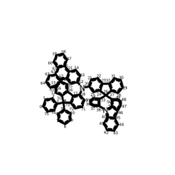 c1ccc(C2(c3ccccc3)c3ccccc3-c3c(N(c4ccc5c(c4)C4(c6ccccc6-5)c5ccccc5-n5c6ccccc6c6cccc4c65)c4ccc5c6ccccc6c6ccccc6c5c4)cccc32)cc1